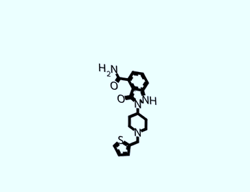 NC(=O)c1cccc2[nH]n(C3CCN(Cc4cccs4)CC3)c(=O)c12